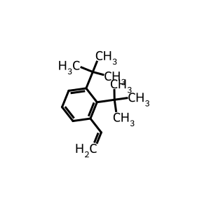 C=Cc1cccc(C(C)(C)C)c1C(C)(C)C